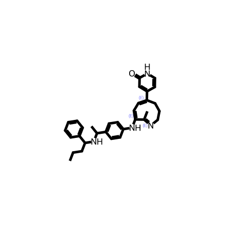 CCCC(NC(C)c1ccc(NC2=C/C=C(/c3cc[nH]c(=O)c3)CCC\N=C\2C)cc1)c1ccccc1